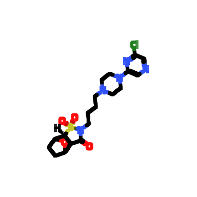 O=C1C2C3CCC(O3)[C@H]2S(=O)(=O)N1CCCCN1CCN(c2cncc(Cl)n2)CC1